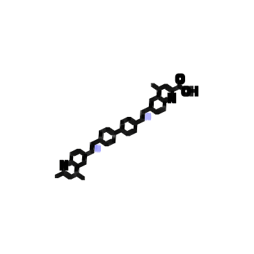 Cc1cc(C)c2cc(/C=C/c3ccc(-c4ccc(/C=C/c5ccc6nc(C(=O)O)cc(C)c6c5)cc4)cc3)ccc2n1